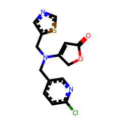 O=C1C=C(N(Cc2ccc(Cl)nc2)Cc2cncs2)CO1